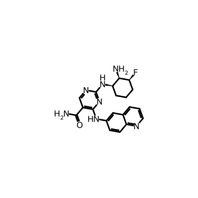 NC(=O)c1cnc(N[C@@H]2CCC[C@H](F)[C@@H]2N)nc1Nc1ccc2ncccc2c1